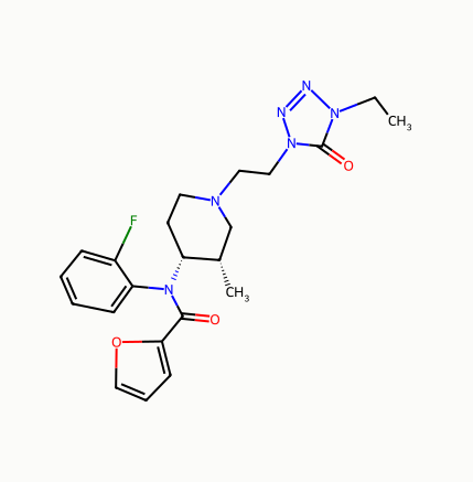 CCn1nnn(CCN2CC[C@@H](N(C(=O)c3ccco3)c3ccccc3F)[C@@H](C)C2)c1=O